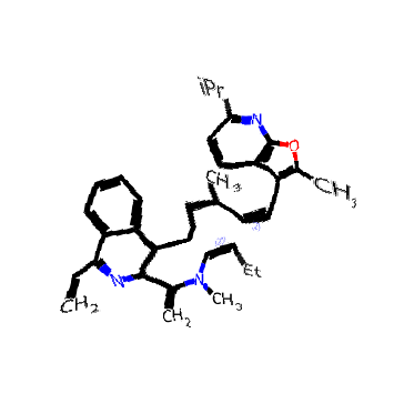 C=CC1=NC(C(=C)N(C)/C=C\CC)C(CCC(C)/C=C\c2c(C)oc3nc(C(C)C)ccc23)c2ccccc21